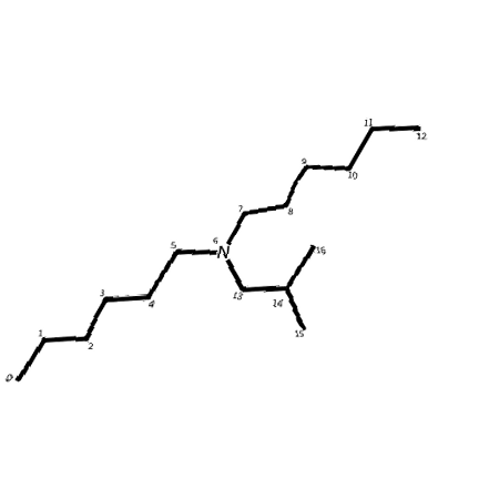 CCCCCCN(CCCCCC)C[C](C)C